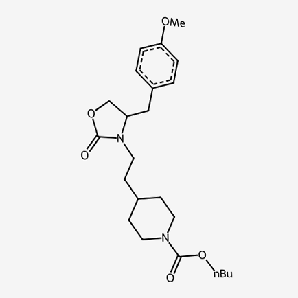 CCCCOC(=O)N1CCC(CCN2C(=O)OCC2Cc2ccc(OC)cc2)CC1